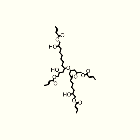 CC=CC(=O)OCC(O)CCCCCCC(CC(O)COC(=O)C=CC)OC(CCCCCCC(O)COC(=O)C=CC)CC(O)COC(=O)C=CC